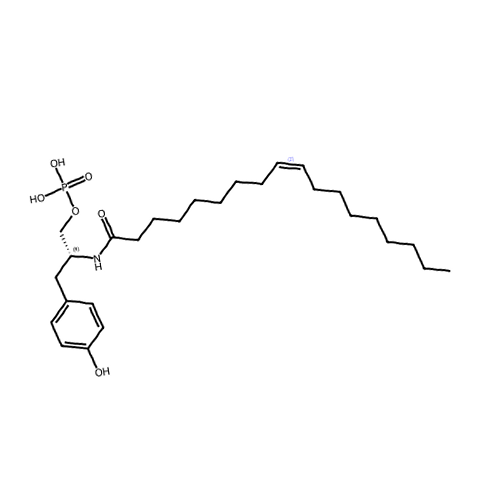 CCCCCCCC/C=C\CCCCCCCC(=O)N[C@@H](COP(=O)(O)O)Cc1ccc(O)cc1